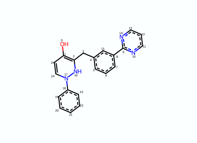 OC1=C(Cc2cccc(-c3ncccn3)c2)NN(c2ccccc2)C=C1